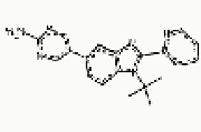 CC(C)(C)n1c(-c2ccccn2)nc2cc(-c3cnc(N)nc3)ccc21